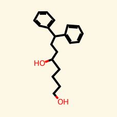 OCCCCC(O)CCC(c1ccccc1)c1ccccc1